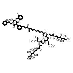 Cc1c(-c2cccc(CCC(=O)NCCCCCCCC(=O)N[C@H](CCC(=O)NC[C@H](O)[C@@H](O)[C@H](O)[C@H](O)CO)C(=O)N[C@H](CCC(=O)O)C(=O)N[C@H](CCC(=O)NC[C@H](O)[C@@H](O)[C@H](O)[C@H](O)CO)C(=O)N[C@H](CS)C(=O)O)c2)c(=O)n(C[C@@H](N)c2ccccc2)c(=O)n1Cc1c(F)cccc1F